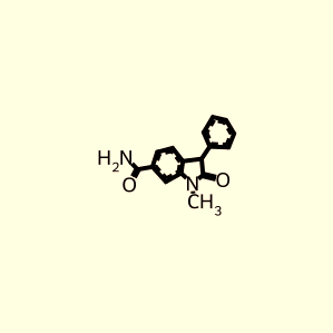 CN1C(=O)C(c2ccccc2)c2ccc(C(N)=O)cc21